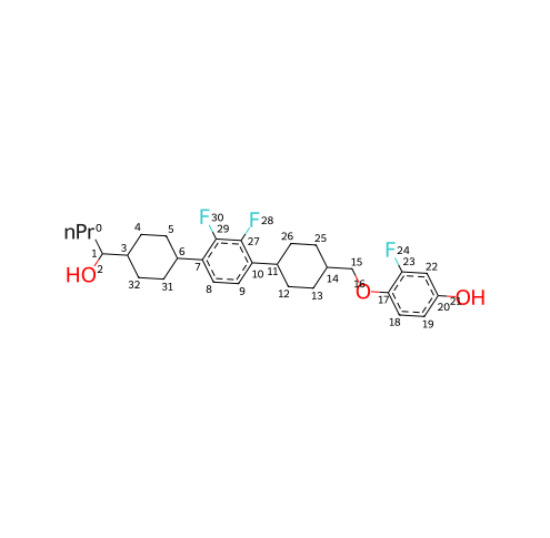 CCCC(O)C1CCC(c2ccc(C3CCC(COc4ccc(O)cc4F)CC3)c(F)c2F)CC1